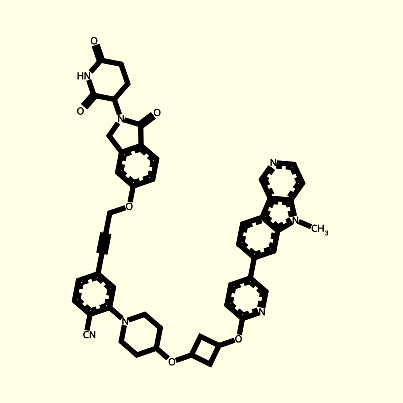 Cn1c2ccncc2c2ccc(-c3ccc(OC4CC(OC5CCN(c6cc(C#CCOc7ccc8c(c7)CN(C7CCC(=O)NC7=O)C8=O)ccc6C#N)CC5)C4)nc3)cc21